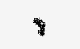 O=C(O)c1cc2nc(-c3ccc(OCc4cc(N5CCCC5=O)ccc4-c4ccc(Cl)cc4)cc3)n(C3CCCCC3)c2s1